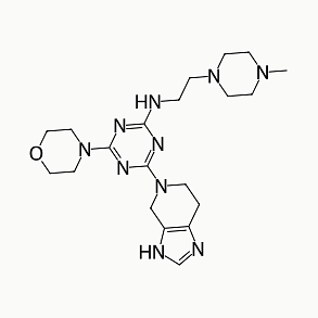 CN1CCN(CCNc2nc(N3CCOCC3)nc(N3CCc4nc[nH]c4C3)n2)CC1